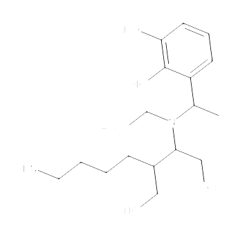 CC(c1cccc(O)c1O)N(CC(=O)O)C(CO)C(CO)CCCCN